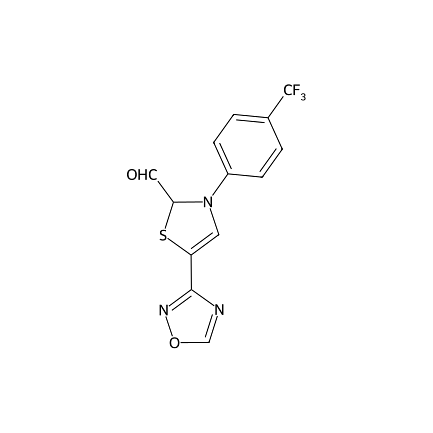 O=CC1SC(c2ncon2)=CN1c1ccc(C(F)(F)F)cc1